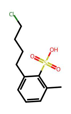 Cc1cccc(CCCCCl)c1S(=O)(=O)O